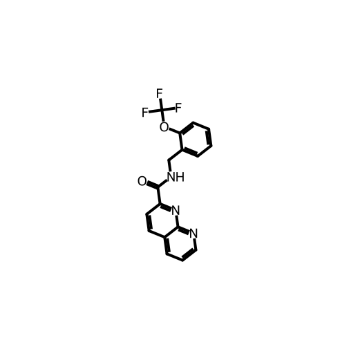 O=C(NCc1ccccc1OC(F)(F)F)c1ccc2cccnc2n1